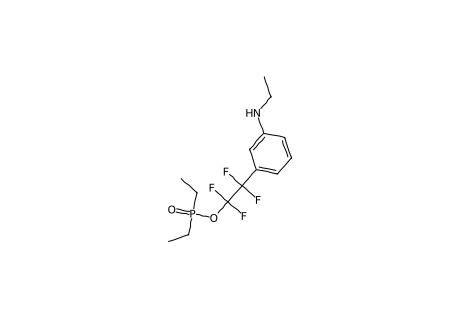 CCNc1cccc(C(F)(F)C(F)(F)OP(=O)(CC)CC)c1